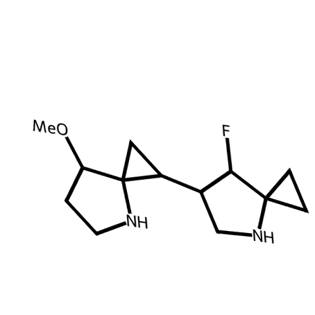 COC1CCNC12CC2C1CNC2(CC2)C1F